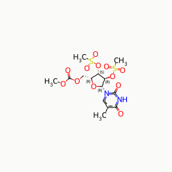 COC(=O)OC[C@H]1O[C@@H](n2cc(C)c(=O)[nH]c2=O)[C@H](OS(C)(=O)=O)[C@H]1OS(C)(=O)=O